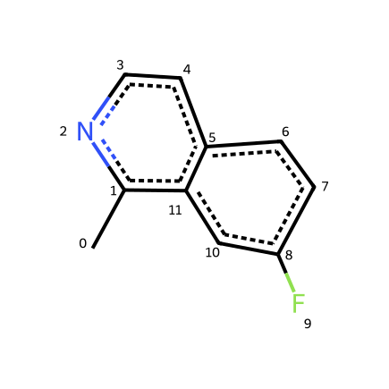 Cc1nccc2ccc(F)cc12